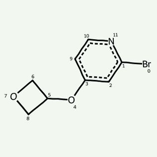 Brc1cc(OC2COC2)ccn1